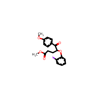 COC(=O)CCC(Oc1ccccc1I)C(=O)c1ccc(OC)cc1